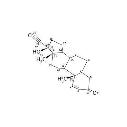 C[C@]12C=CC(=O)CC1CCC1C2CC[C@@]2(C)C1CC[C@@]2(O)[C]#[Cr]